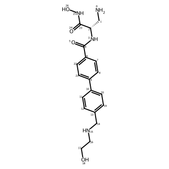 NC[C@H](NC(=O)c1ccc(-c2ccc(CNCCO)cc2)cc1)C(=O)NO